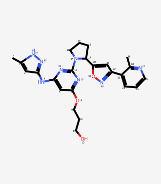 Cc1cc(Nc2cc(OCCCO)nc(N3CCCC3c3cc(-c4cccnc4C)no3)n2)n[nH]1